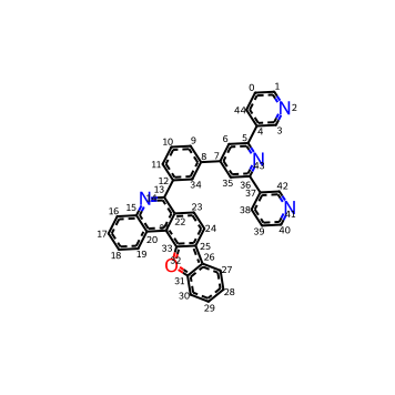 c1cncc(-c2cc(-c3cccc(-c4nc5ccccc5c5c4ccc4c6ccccc6oc45)c3)cc(-c3cccnc3)n2)c1